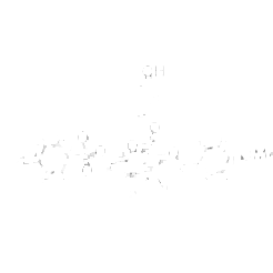 COc1ccc(CO[C@H]2[C@H](OCCCO)O[C@H](COS(=O)(=O)c3ccc(C)cc3)[C@@H](C)[C@@H]2C)cc1